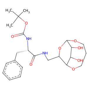 CC(C)(C)OC(=O)N[C@@H](Cc1ccccc1)C(=O)NCC1OC2OCCCOC1C(O)C2O